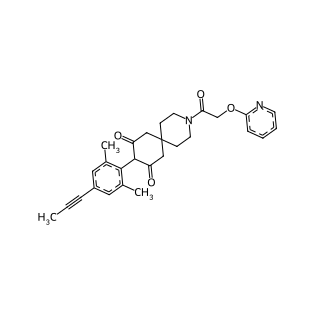 CC#Cc1cc(C)c(C2C(=O)CC3(CCN(C(=O)COc4ccccn4)CC3)CC2=O)c(C)c1